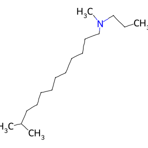 CCCN(C)CCCCCCCCCCC(C)C